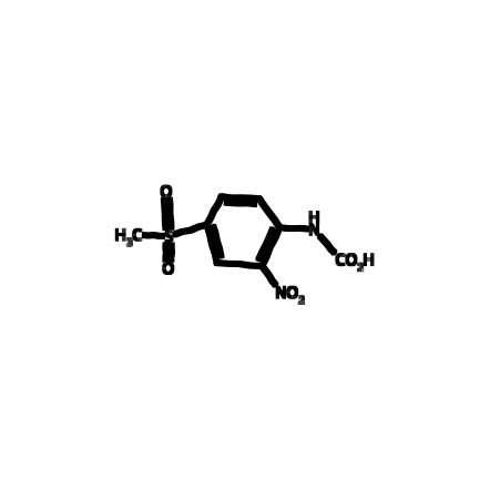 CS(=O)(=O)c1ccc(NC(=O)O)c([N+](=O)[O-])c1